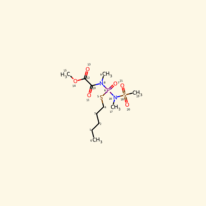 CCCCCSP(=O)(N(C)C(=O)C(=O)OC)N(C)S(C)(=O)=O